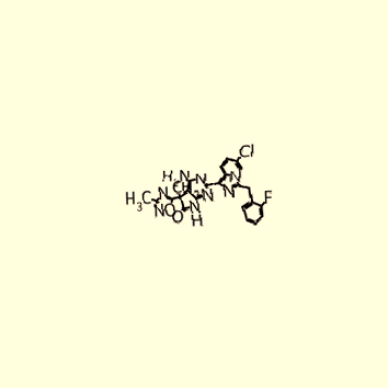 Cc1noc(C2(C)C(=O)Nc3nc(-c4nc(Cc5ccccc5F)n5cc(Cl)ccc45)nc(N)c32)n1